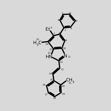 CCc1c(-c2ccccc2)cc2nc(C=Cc3ccccc3C)[nH]c2c1C